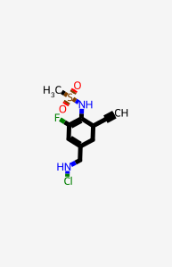 C#CC1CC(CNCl)=CC(F)=C1NS(C)(=O)=O